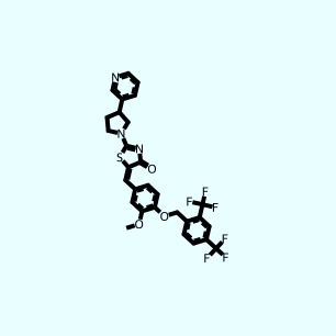 COc1cc(C=C2SC(N3CCC(c4cccnc4)C3)=NC2=O)ccc1OCc1ccc(C(F)(F)F)cc1C(F)(F)F